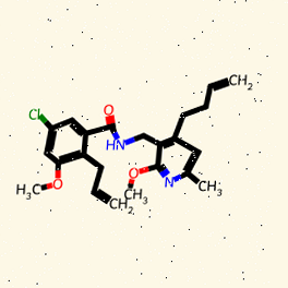 C=CCCc1cc(C)nc(OC)c1CNC(=O)c1cc(Cl)cc(OC)c1CC=C